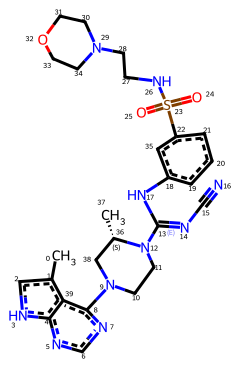 Cc1c[nH]c2ncnc(N3CCN(/C(=N/C#N)Nc4cccc(S(=O)(=O)NCCN5CCOCC5)c4)[C@@H](C)C3)c12